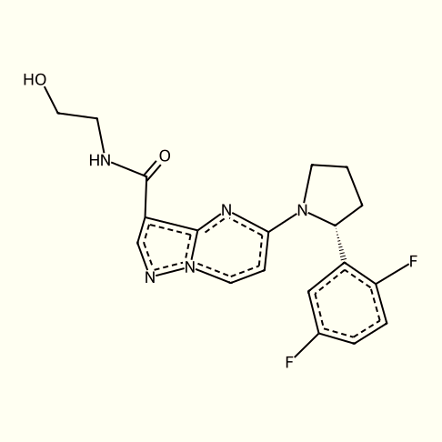 O=C(NCCO)c1cnn2ccc(N3CCC[C@@H]3c3cc(F)ccc3F)nc12